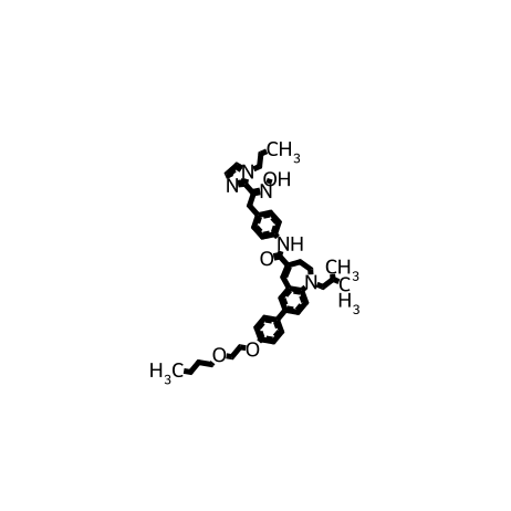 CCCCOCCOc1ccc(-c2ccc3c(c2)C=C(C(=O)Nc2ccc(CC(=NO)c4nccn4CCC)cc2)CCN3CC(C)C)cc1